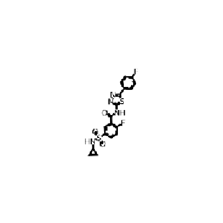 O=C(Nc1nnc(-c2ccc(F)cc2)s1)c1cc(S(=O)(=O)NC2CC2)ccc1F